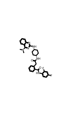 CN(C)c1nc(N[C@H]2CC[C@@H](NC(=O)Cc3ccccc3C(=O)Nc3ccc(F)cc3F)CC2)nc2ccccc12